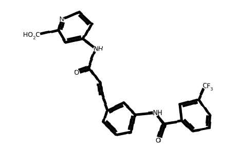 O=C(C=Cc1cccc(NC(=O)c2cccc(C(F)(F)F)c2)c1)Nc1ccnc(C(=O)O)c1